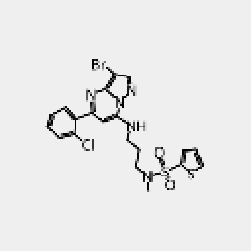 CN(CCCNc1cc(-c2ccccc2Cl)nc2c(Br)cnn12)S(=O)(=O)c1cccs1